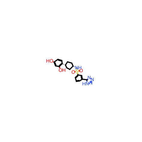 O=S(=O)(N[C@H]1CC[C@@H](c2ccc(O)cc2O)CC1)c1cccc(-c2nnn[nH]2)c1